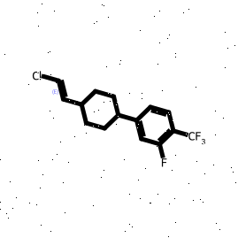 Fc1cc(C2CCC(/C=C/Cl)CC2)ccc1C(F)(F)F